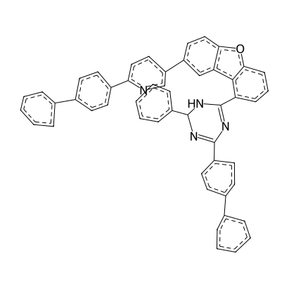 c1ccc(-c2ccc(C3=NC(c4ccccc4)NC(c4cccc5oc6ccc(-c7ccc(-c8ccc(-c9ccccc9)cc8)nc7)cc6c45)=N3)cc2)cc1